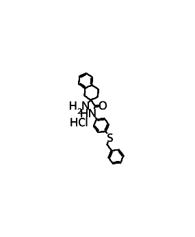 Cl.NC1(C(=O)Nc2ccc(SCc3ccccc3)cc2)CCc2ccccc2C1